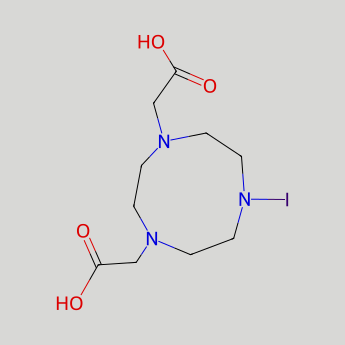 O=C(O)CN1CCN(I)CCN(CC(=O)O)CC1